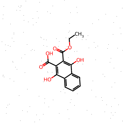 CCOC(=O)c1c(C(=O)O)c(O)c2ccccc2c1O